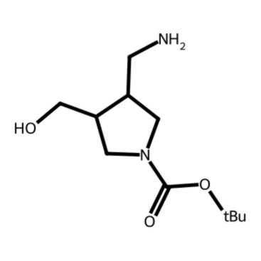 CC(C)(C)OC(=O)N1CC(CN)C(CO)C1